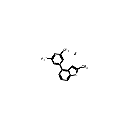 Cc1cc(C)cc(-c2cccc3[cH-]c(C)cc23)c1.[Li+]